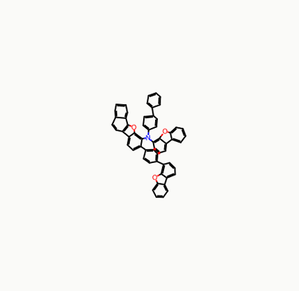 c1ccc(-c2ccc(N(c3cccc4c3oc3ccccc34)c3c(-c4ccc(-c5cccc6c5oc5ccccc56)cc4)ccc4c3oc3c5ccccc5ccc43)cc2)cc1